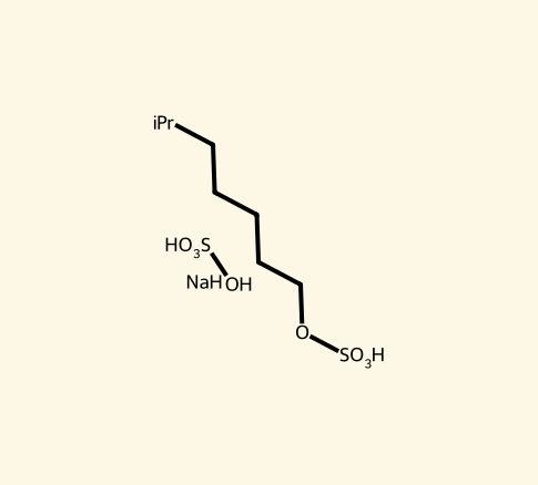 CC(C)CCCCCOS(=O)(=O)O.O=S(=O)(O)O.[NaH]